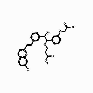 COC(=O)CCSC(c1cccc(OCC(=O)O)c1)C(O)c1cccc(C=Cc2ccc3ccc(Cl)cc3n2)c1